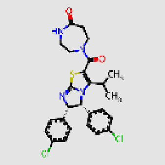 CC(C)C1=C(C(=O)N2CCNC(=O)CC2)SC2=N[C@@H](c3ccc(Cl)cc3)[C@@H](c3ccc(Cl)cc3)N21